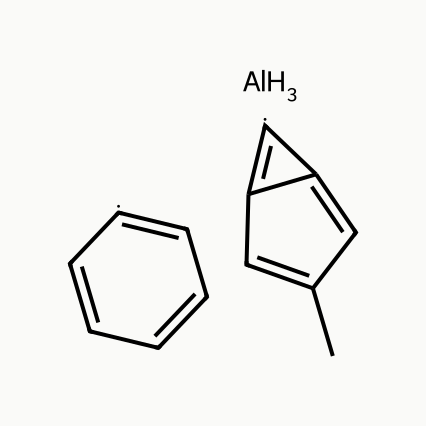 Cc1cc2[c]c-2c1.[AlH3].[c]1ccccc1